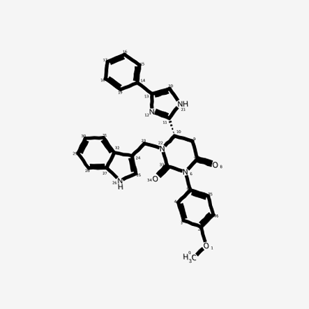 COc1ccc(N2C(=O)C[C@@H](c3nc(-c4ccccc4)c[nH]3)N(Cc3c[nH]c4ccccc34)C2=O)cc1